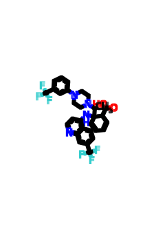 CC(N1CCN(c2cccc(C(F)(F)F)c2)CC1)C1(Nc2ccnc3cc(C(F)(F)F)ccc23)C=CC=CC1C(=O)O